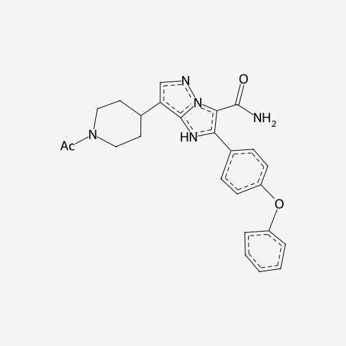 CC(=O)N1CCC(c2cnn3c(C(N)=O)c(-c4ccc(Oc5ccccc5)cc4)[nH]c23)CC1